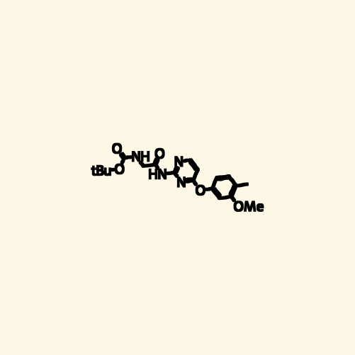 COc1cc(Oc2ccnc(NC(=O)CNC(=O)OC(C)(C)C)n2)ccc1C